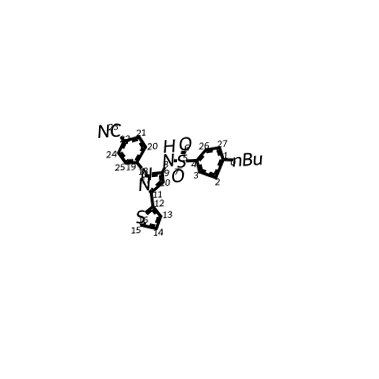 CCCCc1ccc(S(=O)(=O)Nc2cc(-c3cccs3)nn2-c2ccc(C#N)cc2)cc1